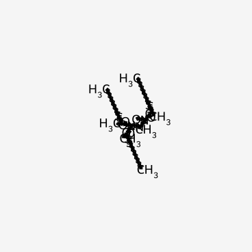 CCCCCCCCCCCCCCSSSCC(CC)OC(=O)CCN(CCC=O)CCCN(C)CCCN(CCC(=O)OC(CC)CSSSCCCCCCCCCCCCCC)CCC(=O)OC(CC)CSSSCCCCCCCCCCCCCC